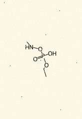 CCOP(=O)(O)ONC